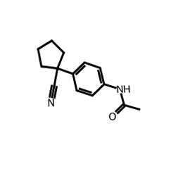 CC(=O)Nc1ccc(C2(C#N)CCCC2)cc1